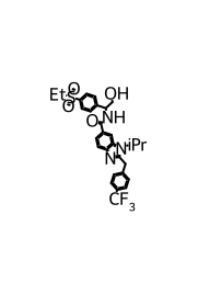 CCS(=O)(=O)c1ccc(C(CO)NC(=O)c2ccc3nc(Cc4ccc(C(F)(F)F)cc4)n(C(C)C)c3c2)cc1